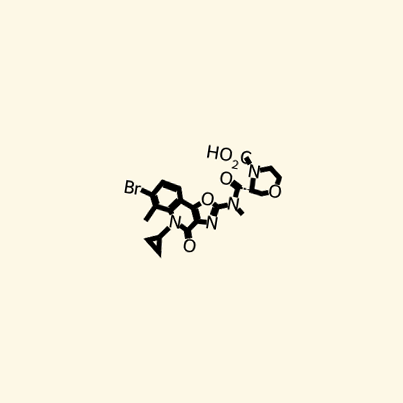 Cc1c(Br)ccc2c3oc(N(C)C(=O)[C@H]4COCCN4C(=O)O)nc3c(=O)n(C3CC3)c12